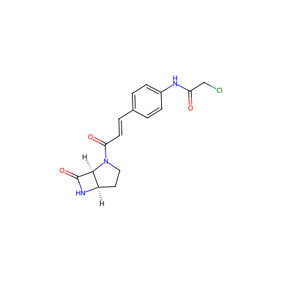 O=C(CCl)Nc1ccc(C=CC(=O)N2CC[C@H]3NC(=O)[C@H]32)cc1